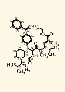 CCOC(=O)/C(C)=C/[C@H](C(C)C)N(C)C(=O)C(Cc1ccc(C(=O)c2ccccc2)cc1)NC(=O)[C@H]1CCCCN1C(C)C(C)C